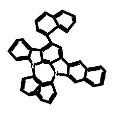 c1ccc(-n2c3cc4ccccc4cc3c3cc(-c4cccc5ccccc45)c4c5ccccc5n(-c5ccccc5)c4c32)cc1